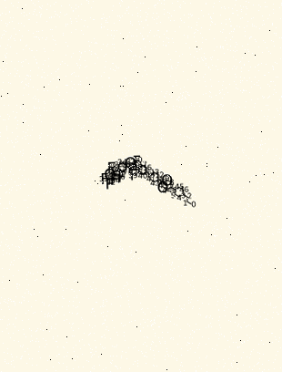 CCCC1CCC(C2COC(C3CCC(c4ccc(C(F)(F)Oc5ccc(C(F)(F)OC(F)(F)F)c(F)c5)c(F)c4)CC3)OC2)CC1